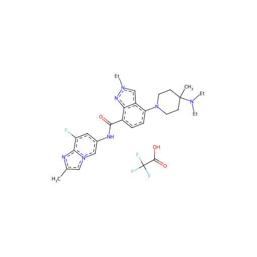 CCN(CC)C1(C)CCN(c2ccc(C(=O)Nc3cc(F)c4nc(C)cn4c3)c3nn(CC)cc23)CC1.O=C(O)C(F)(F)F